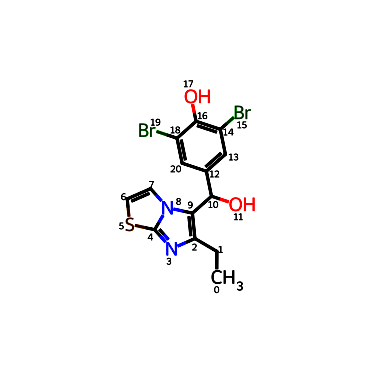 CCc1nc2sccn2c1C(O)c1cc(Br)c(O)c(Br)c1